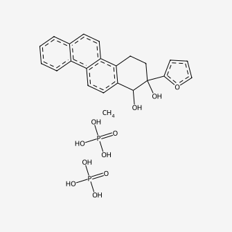 C.O=P(O)(O)O.O=P(O)(O)O.OC1c2ccc3c(ccc4ccccc43)c2CCC1(O)c1ccco1